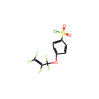 O=S(=O)(Cl)c1ccc(OC(F)(F)C(F)=C(F)F)cc1